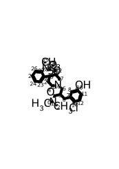 CN(C)C(=O)C(Cc1cc(O)ccc1Cl)CN1CCC2(CC1)c1ccccc1N(C)S2(=O)=O